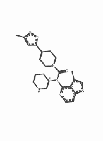 Cc1cc(C2CCN(C(=O)N(c3nccc4scc(C)c34)[C@@H]3CCCNC3)CC2)on1